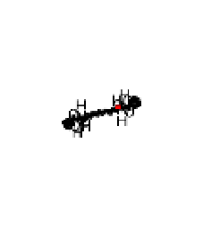 O=C(CCCCCCCCCCC(=O)NNC(=O)c1ccccc1O)NNC(=O)c1ccccc1O